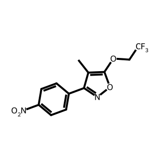 Cc1c(-c2ccc([N+](=O)[O-])cc2)noc1OCC(F)(F)F